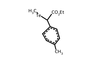 CCOC(=O)C([Te]C)c1ccc(C)cc1